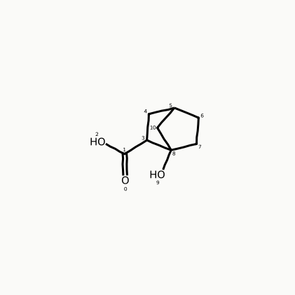 O=C(O)C1CC2CCC1(O)C2